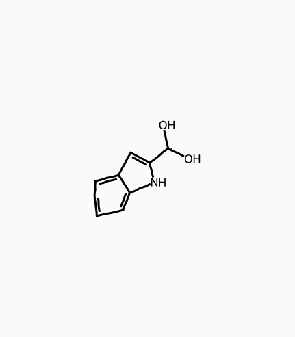 O[C](O)c1cc2ccccc2[nH]1